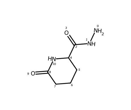 NNC(=O)C1CCCC(=O)N1